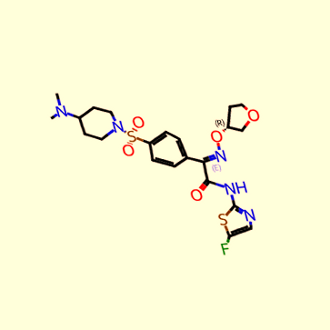 CN(C)C1CCN(S(=O)(=O)c2ccc(/C(=N\O[C@@H]3CCOC3)C(=O)Nc3ncc(F)s3)cc2)CC1